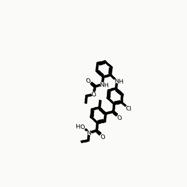 CCOC(=O)Nc1ccccc1Nc1ccc(C(=O)c2cc(C(=O)N(O)CC)ccc2C)c(Cl)c1